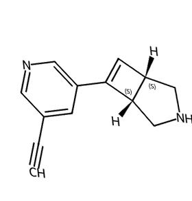 C#Cc1cncc(C2=C[C@@H]3CNC[C@H]23)c1